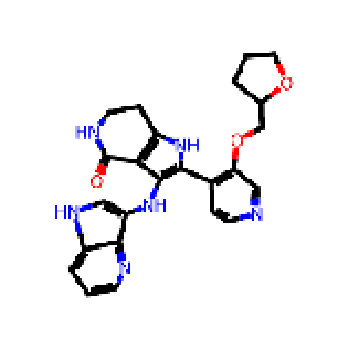 O=C1NCCc2[nH]c(-c3ccncc3OCC3CCCO3)c(Nc3c[nH]c4cccnc34)c21